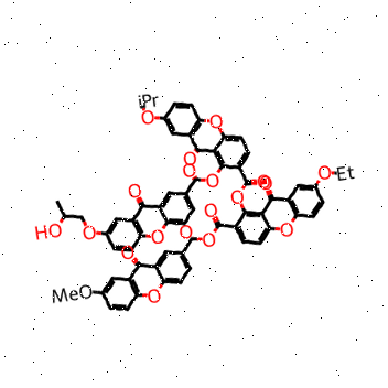 CCOc1ccc2oc3ccc(C(=O)OC(=O)c4ccc5oc6ccc(OC)cc6c(=O)c5c4)c(OC(=O)c4ccc5oc6ccc(OC(C)C)cc6c(=O)c5c4OC(=O)c4ccc5oc6ccc(OCC(C)O)cc6c(=O)c5c4)c3c(=O)c2c1